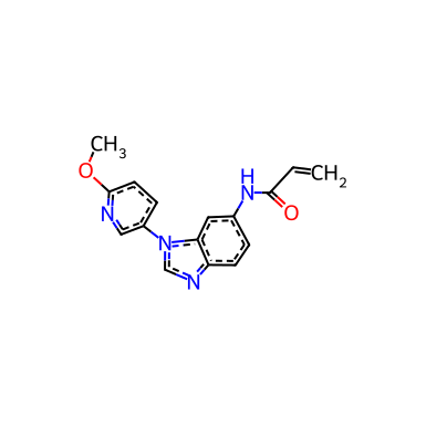 C=CC(=O)Nc1ccc2ncn(-c3ccc(OC)nc3)c2c1